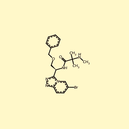 CNC(C)(C)C(=O)N[C@H](COCc1ccccc1)c1nnc2ccc(Br)cn12